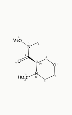 CON(C)C(=O)[C@H]1COCCN1C(=O)O